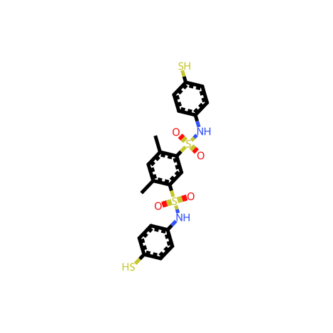 Cc1cc(C)c(S(=O)(=O)Nc2ccc(S)cc2)cc1S(=O)(=O)Nc1ccc(S)cc1